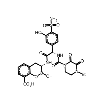 CCN1CCN(C(=O)N[C@H](C(=O)N[C@H]2Cc3cccc(C(=O)O)c3OB2O)c2ccc(S(N)(=O)=O)c(O)c2)C(=O)C1=O